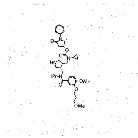 COCCCOc1cc(C(=O)N(C[C@@H]2CNC[C@H]2CN(C(=O)OC2CC(=O)N(c3ccccc3)C2)C2CC2)C(C)C)ccc1OC